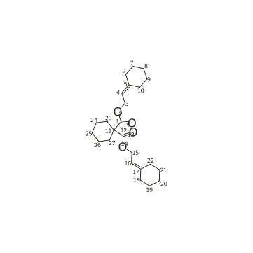 O=C(OCC=C1CCCCC1)C1(C(=O)OCC=C2CCCCC2)CCCCC1